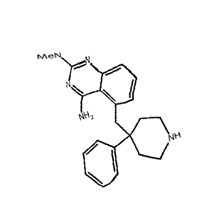 CNc1nc(N)c2c(CC3(c4ccccc4)CCNCC3)cccc2n1